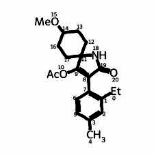 CCc1cc(C)ccc1C1=C(OC(C)=O)C2(CCC(OC)CC2)NC1=O